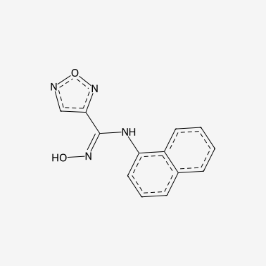 ON=C(Nc1cccc2ccccc12)c1cnon1